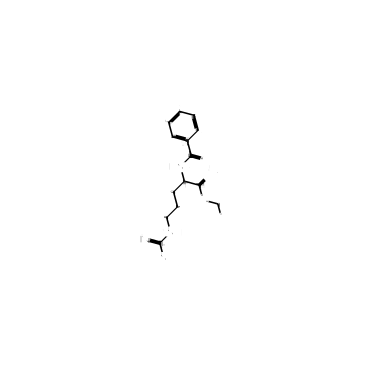 CCOC(=O)C(CCCNC(=N)N)NC(=O)c1ccccc1